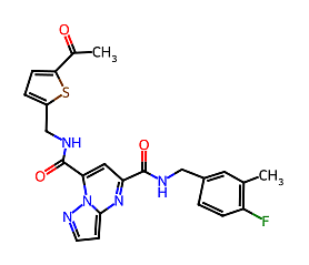 CC(=O)c1ccc(CNC(=O)c2cc(C(=O)NCc3ccc(F)c(C)c3)nc3ccnn23)s1